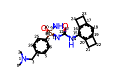 CN(C)Cc1ccc([S@](N)(=O)=NC(=O)Nc2c3c(cc4c2CC4)CC3)cc1